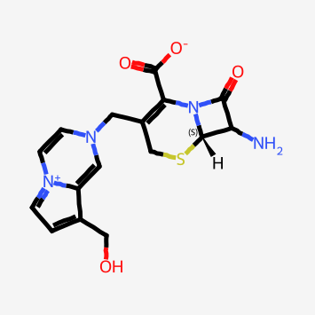 NC1C(=O)N2C(C(=O)[O-])=C(Cn3cc[n+]4ccc(CO)c-4c3)CS[C@@H]12